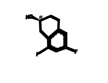 O[C@@H]1CCc2cc(F)cc(F)c2C1